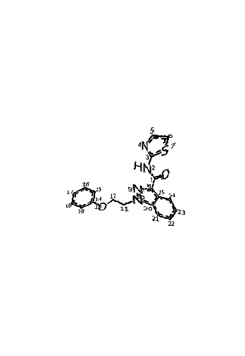 O=C(Nc1nccs1)c1nn(CCOc2ccccc2)c2ccccc12